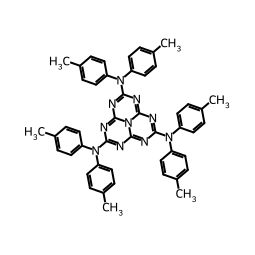 Cc1ccc(N(C2=NC3=NC(N(c4ccc(C)cc4)c4ccc(C)cc4)=NC4=NC(N(c5ccc(C)cc5)c5ccc(C)cc5)=NC(=N2)N34)c2ccc(C)cc2)cc1